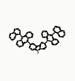 c1ccc2c(-c3c4ccccc4c(-c4ccc5sc6ccc(-c7c8ccccc8c(-c8cccc9ccccc89)c8ccccc78)cc6c5c4)c4ccccc34)cccc2c1